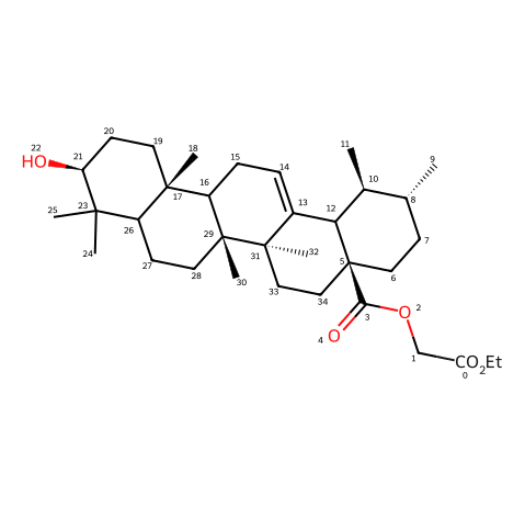 CCOC(=O)COC(=O)[C@]12CC[C@@H](C)[C@H](C)C1C1=CCC3[C@@]4(C)CC[C@H](O)C(C)(C)C4CC[C@@]3(C)[C@]1(C)CC2